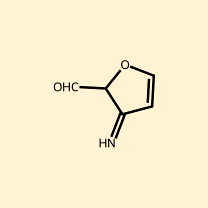 N=C1C=COC1C=O